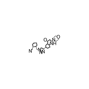 N#Cc1ccccc1Cn1cc(-c2ccc3[nH]c(N4CCOCC4)cc(=O)c3c2)nn1